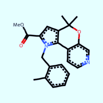 COC(=O)c1cc2c(n1Cc1ccccc1C)-c1ccncc1OC2(C)C